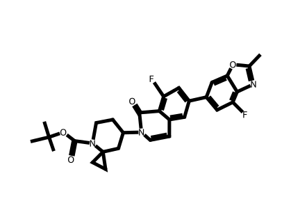 Cc1nc2c(F)cc(-c3cc(F)c4c(=O)n(C5CCN(C(=O)OC(C)(C)C)C6(CC6)C5)ccc4c3)cc2o1